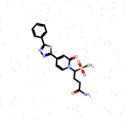 CS(=O)(=O)C(CCC(N)=O)n1ccc(-c2nnc(-c3ccccc3)s2)cc1=O